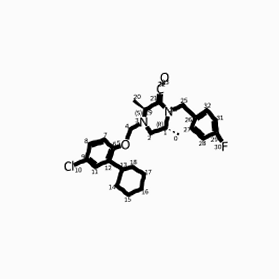 C[C@@H]1CN(COc2ccc(Cl)cc2C2CCCCC2)[C@@H](C)C(=C=O)N1Cc1ccc(F)cc1